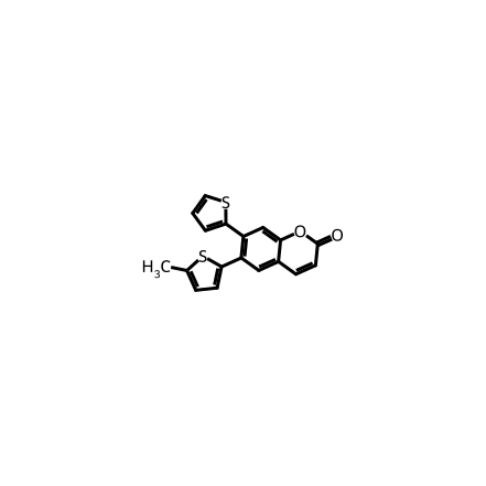 Cc1ccc(-c2cc3ccc(=O)oc3cc2-c2cccs2)s1